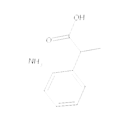 CC(C(=O)O)c1ccccc1.N